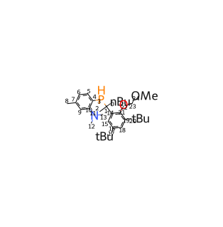 CCCCC(C)(Pc1ccc(C)cc1N(C)C)c1cc(C(C)(C)C)cc(C(C)(C)C)c1OCOC